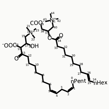 CCCCC/C=C\C/C=C\CCCCCCCC(=O)C(C(=O)[O-])C(O)C[N+](C)(C)C.CCCCCCC=CCCCCCCCC(=O)OC(CC(=O)[O-])C[N+](C)(C)C